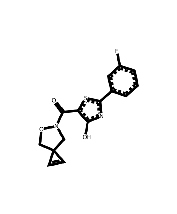 O=C(c1sc(-c2cccc(F)c2)nc1O)N1CC2(C=C2)CO1